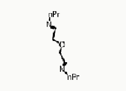 CCCN=CCOCC=NCCC